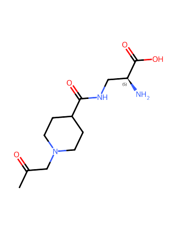 CC(=O)CN1CCC(C(=O)NC[C@H](N)C(=O)O)CC1